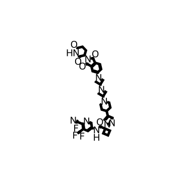 N#Cc1ncc(NC(=O)C2(n3cc(C4CCN(C5CN(C6CN(c7ccc8c(c7)C(=O)N(C7CCC(=O)NC7=O)C8=O)C6)C5)CC4)cn3)CCC2)cc1C(F)(F)F